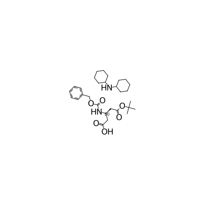 C1CCC(NC2CCCCC2)CC1.CC(C)(C)OC(=O)C[C@@H](CC(=O)O)NC(=O)OCc1ccccc1